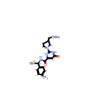 COCC1CCN(c2nc(C(=O)NC(c3ccc(C(F)(F)F)cc3)C(C)(C)C)cc(=O)[nH]2)C1